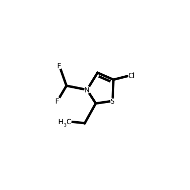 C[CH]C1SC(Cl)=CN1C(F)F